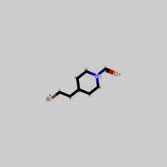 O=CN1CCC(CCBr)CC1